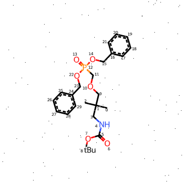 CC(C)(CNC(=O)OC(C)(C)C)COCP(=O)(OCc1ccccc1)OCc1ccccc1